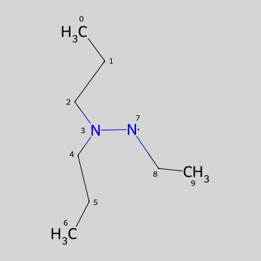 CCCN(CCC)[N]CC